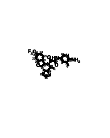 Cc1cc(NC(=O)C(=O)N(C(C)c2nccs2)C2COc3cc(C(F)(F)F)ccc32)cnc1N